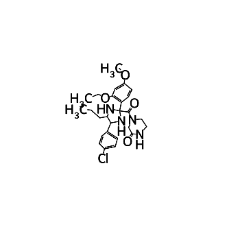 CCCC1NC(C(=O)N2CCNC(=O)C2)(c2ccc(OC)cc2OCC)NC1c1ccc(Cl)cc1